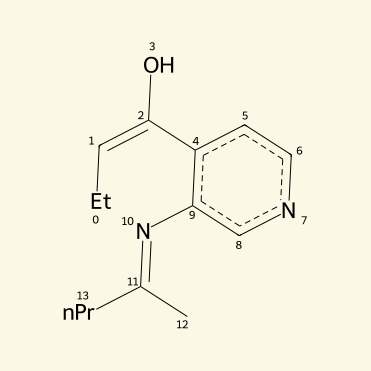 CC/C=C(/O)c1ccncc1/N=C(\C)CCC